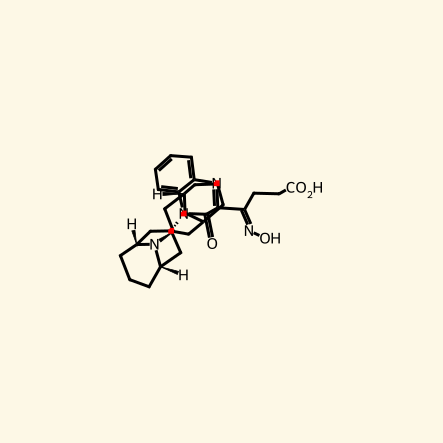 O=C(O)CC/C(=N\O)c1nc2ccccc2n([C@H]2C[C@H]3CCC[C@@H](C2)N3[C@@H]2CC3CCC[C@H](C3)C2)c1=O